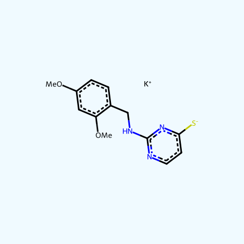 COc1ccc(CNc2nccc([S-])n2)c(OC)c1.[K+]